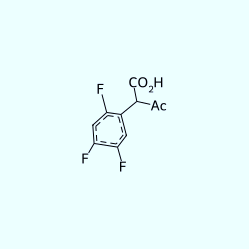 CC(=O)C(C(=O)O)c1cc(F)c(F)cc1F